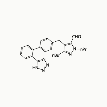 CCCCc1nn(CCC)c(C=O)c1Cc1ccc(-c2ccccc2-c2nnn[nH]2)cc1